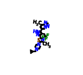 Cc1nc(-c2n[nH]c(-c3cc(C)c4ncnn4c3)c2CC(F)(F)F)sc1N1CCN(CC2CC2)CC1